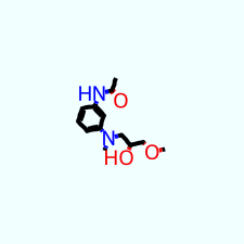 COCC(O)CN(C)c1cccc(NC(C)=O)c1